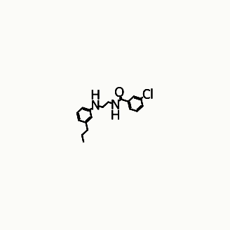 CCCc1cccc(NCCNC(=O)c2cccc(Cl)c2)c1